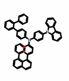 c1ccc(-c2ccccc2-c2ccc(N(c3ccc(-c4cccc5cccc(-c6ccccc6)c45)cc3)c3ccc(-n4c5ccccc5c5ccccc54)cc3)cc2)cc1